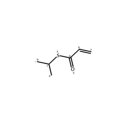 [CH2]C(C)SC(=O)C=C